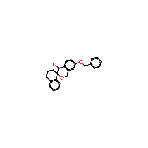 O=C1c2ccc(OCc3ccccc3)cc2COC12CCCc1ccccc12